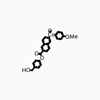 COc1cc[c]([Co](=[O])[c]2ccc3cc(C(=O)Oc4ccc(CO)cc4)ccc3c2)cc1